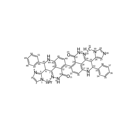 CCCn1ccnc1C1c2n[nH]c(=O)c3c(-c4ccc5c6c(n[nH]c(=O)c46)C(c4cncn4C)C(c4ccccc4)N5)ccc(c23)NC1c1ccccc1